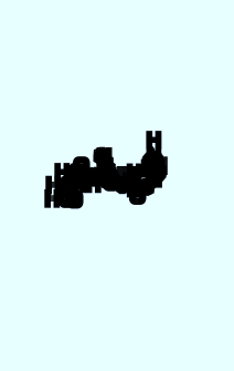 O=C(O)CC[C@H](NC(=O)N[C@@H](CCCCNC(=O)[C@H](Cc1ccc2ccccc2c1)NC(=O)[C@H]1CC[C@H](CNC(=O)c2ccc(CN3CCCN4CCNCCCN(CC4)CC3)cc2)CC1)C(=O)O)C(=O)O